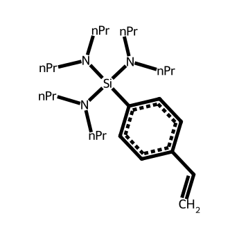 C=Cc1ccc([Si](N(CCC)CCC)(N(CCC)CCC)N(CCC)CCC)cc1